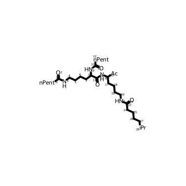 CCCCCC(=O)NCCCCC(NC(=O)CCCCC)C(=O)NC(CCCCNC(=O)CCCCC(C)C)C(C)=O